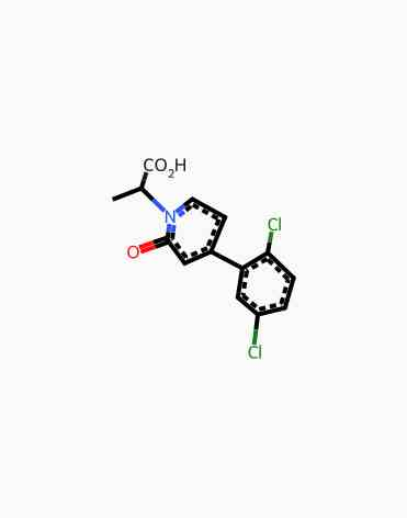 CC(C(=O)O)n1ccc(-c2cc(Cl)ccc2Cl)cc1=O